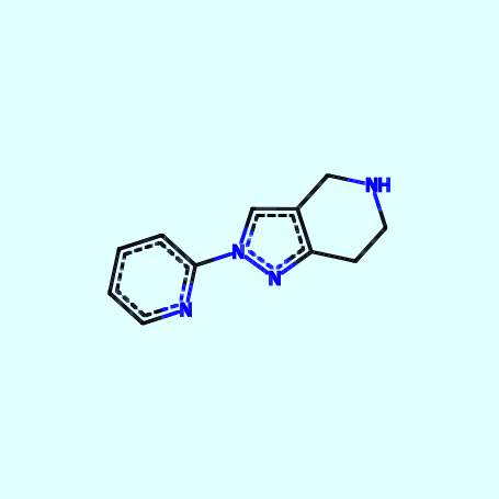 c1ccc(-n2cc3c(n2)CCNC3)nc1